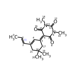 C/C=C/C1=CC(=C2C(=O)N(C)C(=O)N(C)C2=O)CC(C)(C)C1